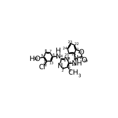 Cc1cnc(Nc2ccc(O)c(Cl)c2)nc1Nn1c(=O)oc2ccccc21